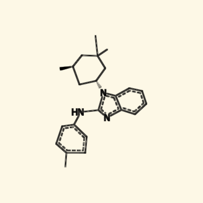 Cc1ccc(Nc2nc3ccccc3n2[C@@H]2C[C@@H](C)CC(C)(C)C2)cc1